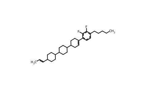 C/C=C/C1CCC(C2CCC(C3CC=C(c4ccc(CCCCC)c(F)c4F)CC3)CC2)CC1